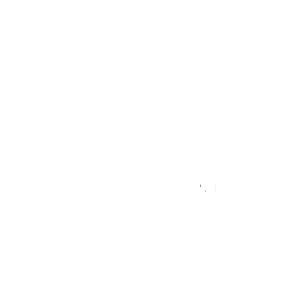 NC(=O)C1=CC=C=CC=C1